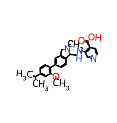 COc1cc(C(C)C)ccc1-c1ccc2c(c1)CN(C)C2CNc1cnccc1C(=O)O